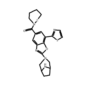 O=C(c1cc(-c2nccs2)c2oc(N3CC4CCC(C3)N4)nc2c1)N1CCCCC1